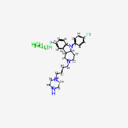 Cl.Cl.Cl.Fc1ccc(N2c3ccc(F)cc3C3CN(CCCCN4CCNCC4)CCC32)cc1